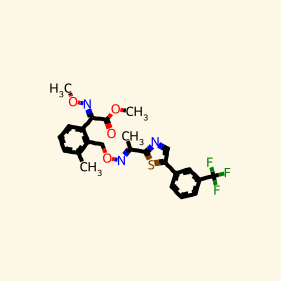 CO/N=C(/C(=O)OC)c1cccc(C)c1CO/N=C(\C)c1ncc(-c2cccc(C(F)(F)F)c2)s1